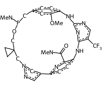 CNC(=O)c1nc2ccc1Nc1nc(ncc1C(F)(F)F)Nc1ccc(cc1OC)CP(NC)OCC1(CC1)Cn1cc-2cn1